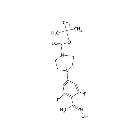 CC(=NO)c1c(F)cc(N2CCN(C(=O)OC(C)(C)C)CC2)cc1F